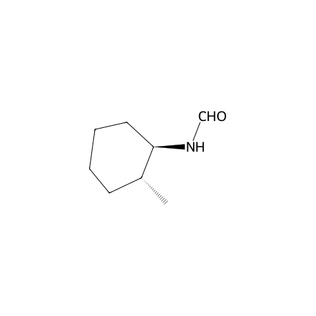 C[C@@H]1CCCC[C@H]1NC=O